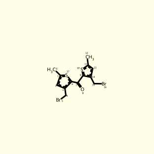 Cc1cc(CBr)c(C(=O)c2sc(C)cc2CBr)s1